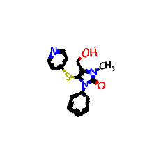 Cn1c(CO)c(Sc2ccncc2)n(-c2ccccc2)c1=O